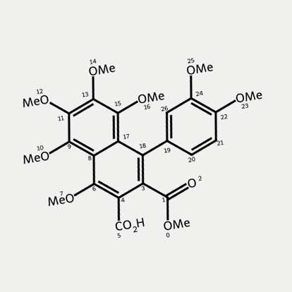 COC(=O)c1c(C(=O)O)c(OC)c2c(OC)c(OC)c(OC)c(OC)c2c1-c1ccc(OC)c(OC)c1